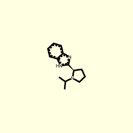 CC(C)N1CCC[C@@H]1c1nc2ccccc2[nH]1